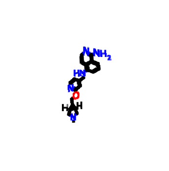 CN1C[C@@H]2C(COc3cc(CNc4cccc5c(N)nccc45)ccn3)[C@@H]2C1